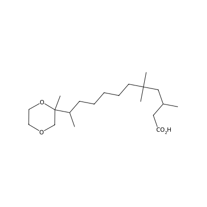 CC(CC(=O)O)CC(C)(C)CCCCCC(C)C1(C)COCCO1